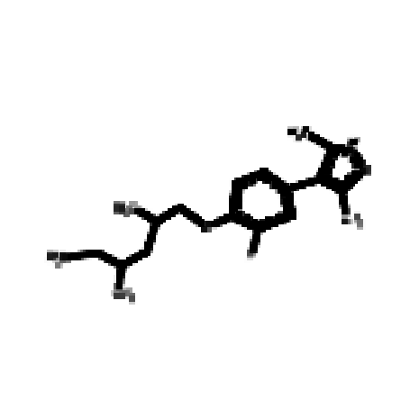 Cc1n[nH]c(C)c1-c1ccc(OCC(C)CC(C)CN)c(F)c1